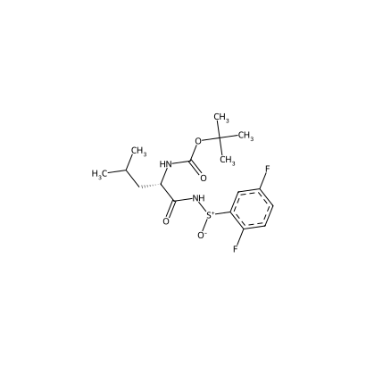 CC(C)C[C@H](NC(=O)OC(C)(C)C)C(=O)N[S+]([O-])c1cc(F)ccc1F